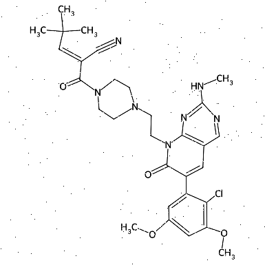 CNc1ncc2cc(-c3cc(OC)cc(OC)c3Cl)c(=O)n(CCN3CCN(C(=O)C(C#N)=CC(C)(C)C)CC3)c2n1